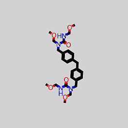 COCNC(=O)N(COC)Cc1ccc(Cc2ccc(CN(COC)C(=O)NCOC)cc2)cc1